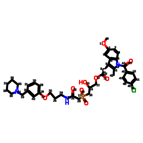 COc1ccc2c(c1)c(CC(=O)OCC(O)CS(=O)(=O)CC(=O)NCCCOc1cccc(CN3CCCCC3)c1)c(C)n2C(=O)c1ccc(Cl)cc1